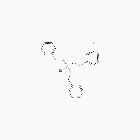 CC[P+](CCc1ccccc1)(CCc1ccccc1)CCc1ccccc1.[Br-]